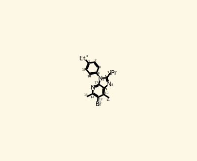 [CH2]Cc1ccc(-n2c(C(C)C)nc3c(C)c(Br)c(C)nc32)cc1